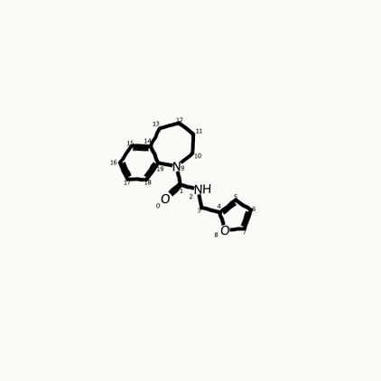 O=C(NCc1ccco1)N1CCCCc2ccccc21